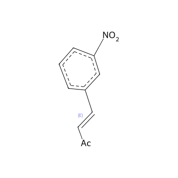 CC(=O)/C=C/c1cccc([N+](=O)[O-])c1